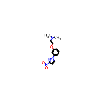 CN(C)CCOc1cccc(-n2ccc([N+](=O)[O-])n2)c1